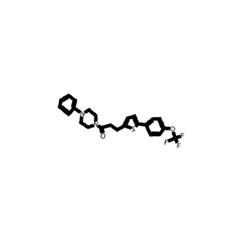 O=C(CCc1ccc(-c2ccc(OC(F)(F)F)cc2)s1)N1CCN(c2ccccc2)CC1